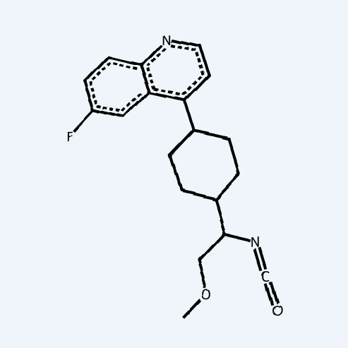 COCC(N=C=O)C1CCC(c2ccnc3ccc(F)cc23)CC1